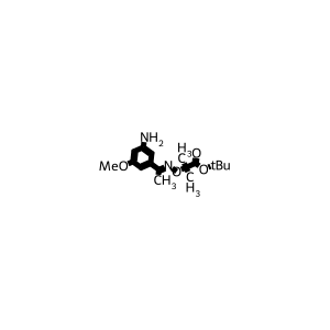 COc1cc(N)cc(C(C)=NOC(C)(C)C(=O)OC(C)(C)C)c1